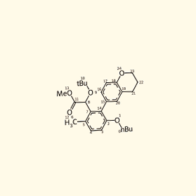 CCCCOc1ccc(C)c(C(OC(C)(C)C)C(=O)OC)c1-c1ccc2c(c1)CCCO2